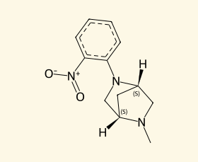 CN1C[C@@H]2C[C@H]1CN2c1ccccc1[N+](=O)[O-]